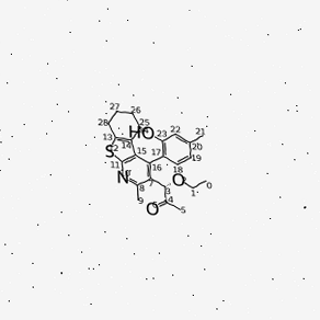 CCO[C@H](C(C)=O)c1c(C)nc2sc3c(c2c1-c1ccc(C)cc1O)CCCC3